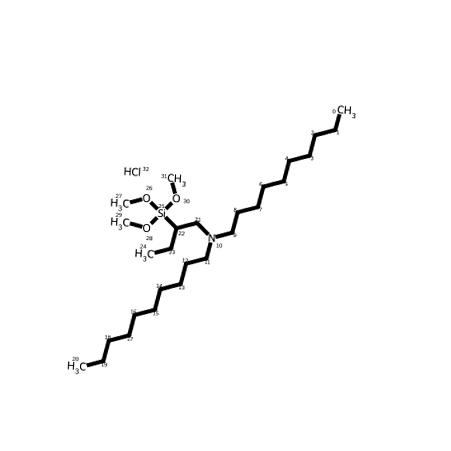 CCCCCCCCCCN(CCCCCCCCCC)CC(CC)[Si](OC)(OC)OC.Cl